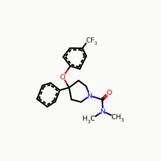 CN(C)C(=O)N1CCC(Oc2ccc(C(F)(F)F)cc2)(c2ccccc2)CC1